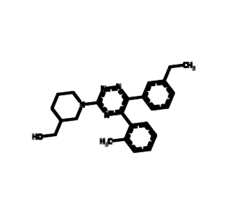 CCc1cccc(-c2nnc(N3CCCC(CO)C3)nc2-c2ccccc2C)c1